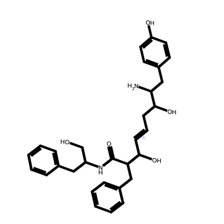 NC(Cc1ccc(O)cc1)C(O)C/C=C/C(O)C(Cc1ccccc1)C(=O)NC(CO)Cc1ccccc1